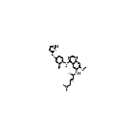 COc1cc2ncnc(Nc3ccc(Oc4cc[nH]n4)cc3F)c2cc1NC(=O)/C=C/CN(C)C